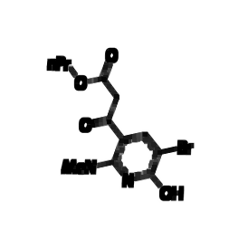 CCCOC(=O)CC(=O)c1cc(Br)c(O)nc1NC